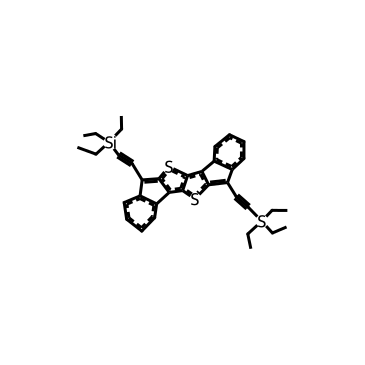 CC[Si](C#CC1=c2sc3c4c(sc3c2-c2ccccc21)=C(C#CS(CC)(CC)CC)c1ccccc1-4)(CC)CC